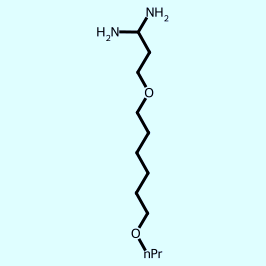 CCCOCCCCCCOCCC(N)N